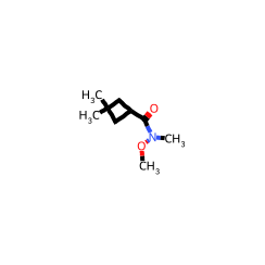 CON(C)C(=O)C1CC(C)(C)C1